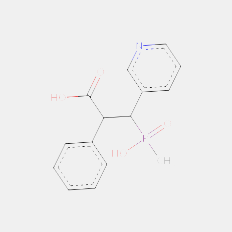 CP(=O)(O)C(c1cccnc1)C(C(=O)O)c1ccccc1